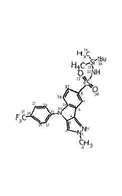 Cn1cc2c(n1)c1cc(S(=O)(=O)N[Si](C)(C)C(C)(C)C)ccc1n2-c1ccc(C(F)(F)F)cc1